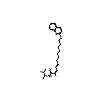 CC(C)C(C)NC(=O)/C(F)=C\C=C\CCCCCCCOc1ccc2ccccc2n1